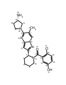 Cc1cn2nc([C@@H]3CCCCN3C(=O)c3cc(O)ccc3Cl)cc2nc1N1CC[C@H](N)C1